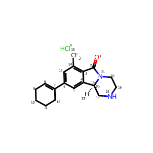 Cl.O=C1c2c(cc(C3=CCCCC3)cc2C(F)(F)F)[C@@H]2CNCCN12